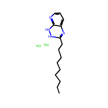 CCCCCCCCCC1=Nc2cccnc2NN1.Cl.Cl